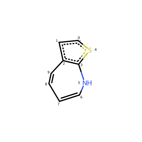 [c]1cc2c(s1)NC=CC=C2